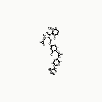 Clc1cc(OCC2C(c3c(Cl)cccc3Cl)=NOC2C2CC2)ccc1C1CC1c1ccc(-c2nnn[nH]2)nc1